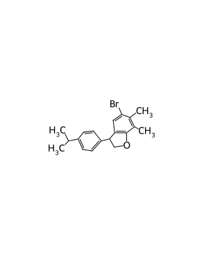 Cc1c(Br)cc2c(c1C)OCC2c1ccc(C(C)C)cc1